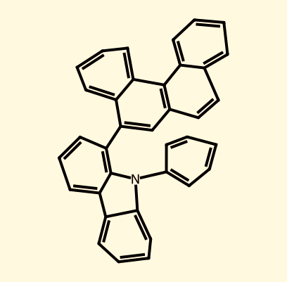 c1ccc(-n2c3ccccc3c3cccc(-c4cc5ccc6ccccc6c5c5ccccc45)c32)cc1